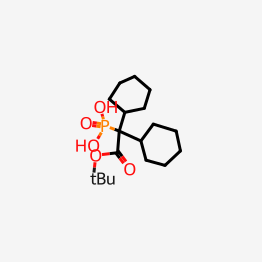 CC(C)(C)OC(=O)C(C1CCCCC1)(C1CCCCC1)P(=O)(O)O